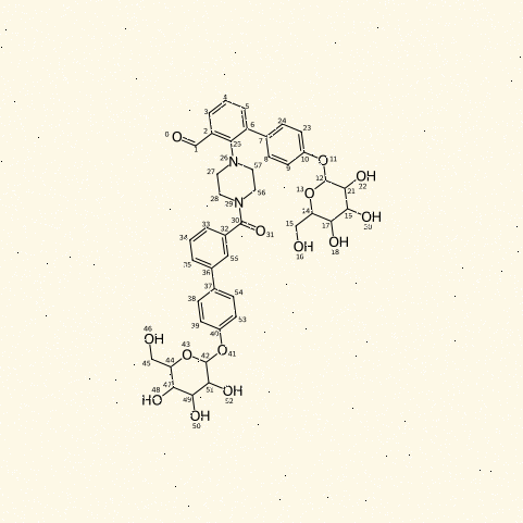 O=Cc1cccc(-c2ccc(OC3OC(CO)C(O)C(O)C3O)cc2)c1N1CCN(C(=O)c2cccc(-c3ccc(OC4OC(CO)C(O)C(O)C4O)cc3)c2)CC1